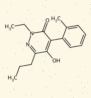 CCCc1nn(CC)c(=O)c(-c2ccccc2C)c1O